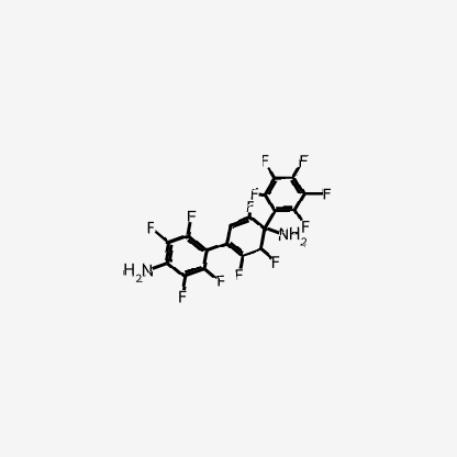 Nc1c(F)c(F)c(C2=C(F)C(F)C(N)(c3c(F)c(F)c(F)c(F)c3F)C(F)=C2)c(F)c1F